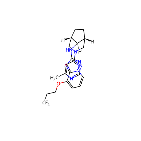 Cc1cc(N2C[C@H]3CC[C@@H](C2)[C@@H]3Nc2nc3c(OCCC(F)(F)F)cccn3n2)ncn1